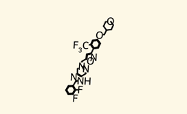 Fc1cccc(-c2nc3c([nH]2)C=NN(Cc2cc(-c4ccc(OCC5CCOCC5)cc4C(F)(F)F)no2)C3)c1F